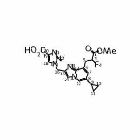 COC(=O)C(F)Cc1cc(C2CC2)cn2cc(Cn3cc(C(=O)O)nn3)nc12